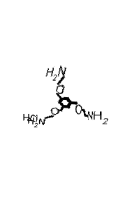 Cl.NCCOCc1cc(COCCN)cc(COCCN)c1